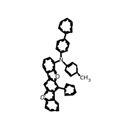 CC1C=CC(N(c2ccc(-c3ccccc3)cc2)c2cccc3c2oc2c(-c4ccccc4)c4c(cc23)oc2ccccc24)=CC1